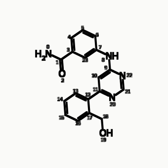 NC(=O)c1cccc(Nc2cc(-c3ccccc3CO)ncn2)c1